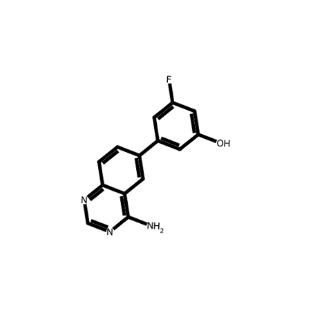 Nc1ncnc2ccc(-c3cc(O)cc(F)c3)cc12